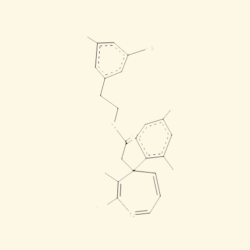 Cc1cc(F)ccc1C1(CC(=O)NCCc2cc(C(F)(F)F)cc(C(F)(F)F)c2)C=CC=NC(C(=O)O)=C1F